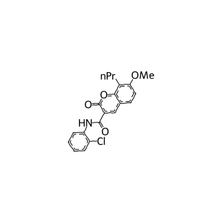 CCCc1c(OC)ccc2cc(C(=O)Nc3ccccc3Cl)c(=O)oc12